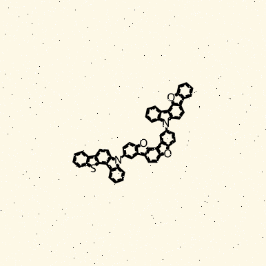 c1ccc2c(c1)oc1c2ccc2c1c1ccccc1n2-c1ccc2oc3ccc4c5cc(-n6c7ccccc7c7c8sc9ccccc9c8ccc76)ccc5oc4c3c2c1